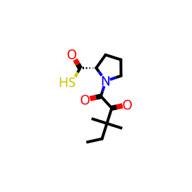 CCC(C)(C)C(=O)C(=O)N1CCC[C@H]1C(=O)S